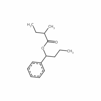 CCCC(OC(=O)C(C)CC)c1ccccc1